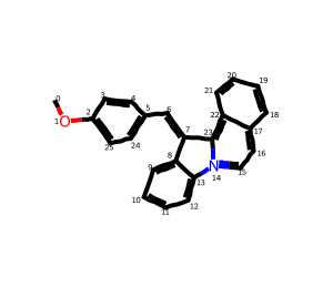 COc1ccc(C=C2c3ccccc3-[n+]3ccc4ccccc4c32)cc1